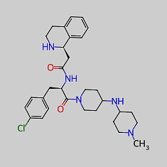 CN1CCC(NC2CCN(C(=O)[C@@H](Cc3ccc(Cl)cc3)NC(=O)C[C@H]3NCCc4ccccc43)CC2)CC1